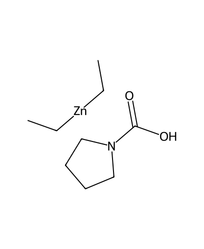 C[CH2][Zn][CH2]C.O=C(O)N1CCCC1